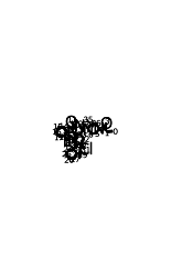 C=CC(=O)N1CCN(c2nc(=O)n(-c3ccccc3CC)c3nc(-c4ccccc4F)c(Cl)cc23)[C@@H](C)C1